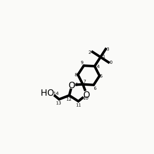 CC(C)(C)C1CCC2(CC1)OCC(CO)O2